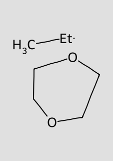 C1COCCO1.C[CH]C